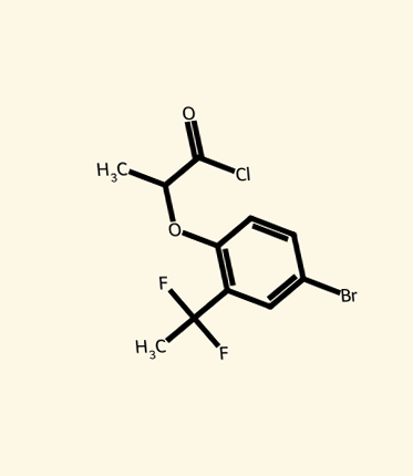 CC(Oc1ccc(Br)cc1C(C)(F)F)C(=O)Cl